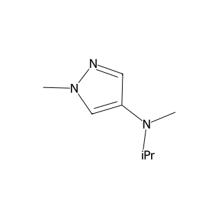 CC(C)N(C)c1cnn(C)c1